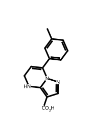 Cc1cccc(C2=CCNc3c(C(=O)O)cnn32)c1